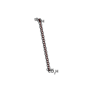 CC(C)(C)OC(=O)NCCOCCOCCOCCOCCOCCOCCOCCOCCOCCOCCOCCOCCOCCOCCOCCOCCOCCOCCOCCOCCOCCOCCOCCOCCC(=O)NCC(=O)O